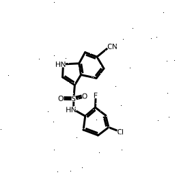 N#Cc1ccc2c(S(=O)(=O)Nc3ccc(Cl)cc3F)c[nH]c2c1